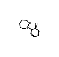 O=C1C=CC=NC1N1CCCCCN1